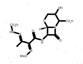 CCOC(=O)NN=C(C)C(=NOC)C(=O)NC1C(=O)N2C(C(=O)O)C(O)CS[C@@H]12